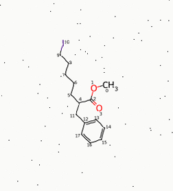 COC(=O)C(CCCCCI)Cc1ccccc1